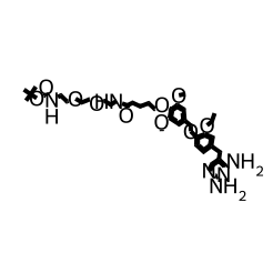 CCOc1cc(Cc2cnc(N)nc2N)ccc1OCc1cc(OC)c(OCCCCC(=O)NCCOCCOCCNC(=O)OC(C)(C)C)c(OC)c1